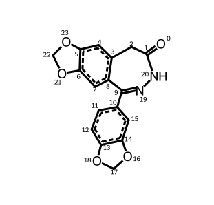 O=C1Cc2cc3c(cc2C(c2ccc4c(c2)OCO4)=NN1)OCO3